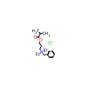 C=C(C)C(=O)OCCC[N+](CC)(CC)Cc1ccccc1.[Cl-]